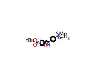 C/N=C(\SC)[C@H]1CC[C@H](C2=NOC3(CCN(C(=O)OC(C)(C)C)CC3)C2)CC1